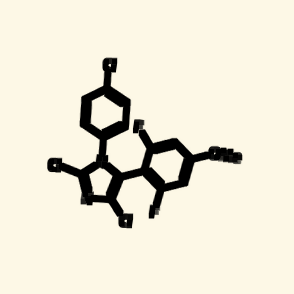 COc1cc(F)c(-c2c(Cl)nc(Cl)n2-c2ccc(Cl)cc2)c(F)c1